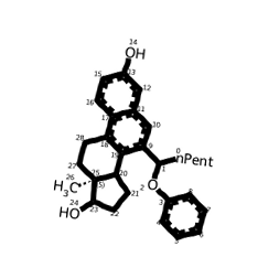 CCCCCC(Oc1ccccc1)c1cc2cc(O)ccc2c2c1C1CCC(O)[C@@]1(C)CC2